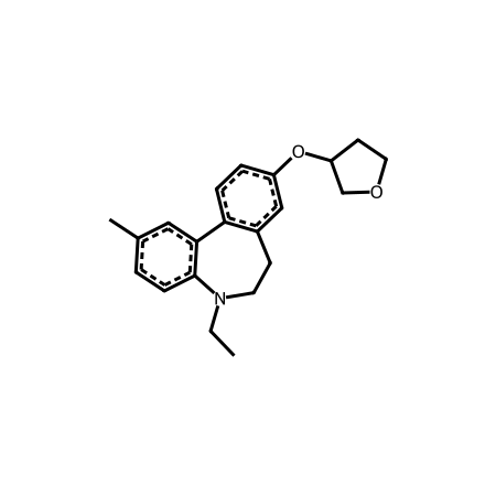 CCN1CCc2cc(OC3CCOC3)ccc2-c2cc(C)ccc21